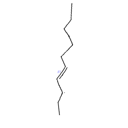 CC[CH]/C=C/CCCCC